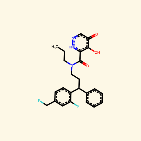 CCCN(CCC(c1ccccc1)c1ccc(CF)cc1F)C(=O)c1[nH]ncc(=O)c1O